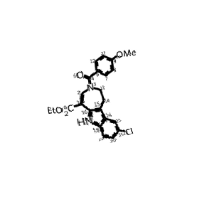 CCOC(=O)C1=CN(C(=O)c2ccc(OC)cc2)CCc2c1[nH]c1ccc(Cl)cc21